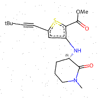 COC(=O)c1sc(C#CC(C)(C)C)cc1N[C@H]1CCCN(C)C1=O